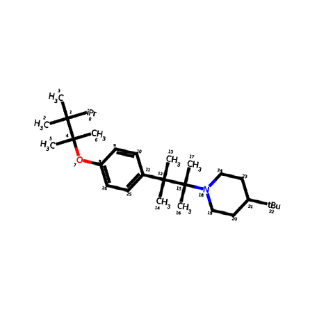 CC(C)C(C)(C)C(C)(C)Oc1ccc(C(C)(C)C(C)(C)N2CCC(C(C)(C)C)CC2)cc1